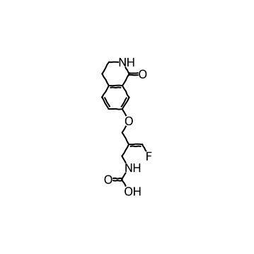 O=C(O)NCC(=CF)COc1ccc2c(c1)C(=O)NCC2